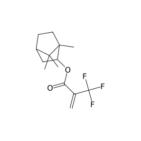 C=C(C(=O)OC1CC2CCC1(C)C2(C)C)C(F)(F)F